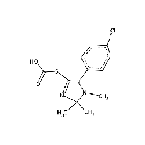 CN1N(c2ccc(Cl)cc2)C(SC(=O)O)=NC1(C)C